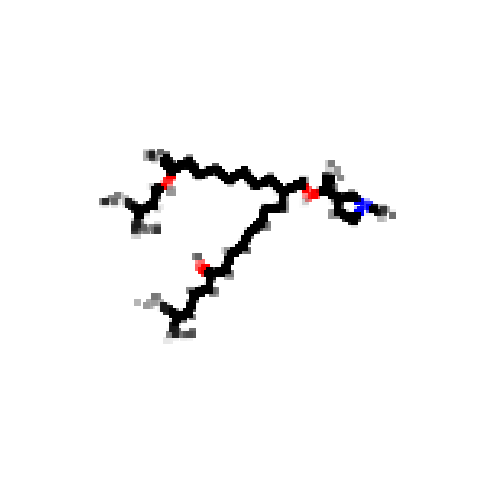 C=C(CCCCCCCC(CCCCCCCC(=O)CCCC(CCCCC)CCCCC)COC(=C)C1CCN(C)C1)OCCC(CCCCC)CCCCC